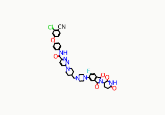 N#Cc1ccc(Oc2ccc(NC(=O)c3ccc(N4CCC(CN5CCN(c6cc7c(cc6F)C(=O)N(C6CCC(=O)NC6=O)C7=O)CC5)CC4)nn3)cc2)cc1Cl